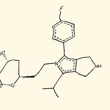 CC(C)c1c2c(c(-c3ccc(F)cc3)n1CC[C@@H]1C[C@@H](O)CC(=O)O1)CNC2